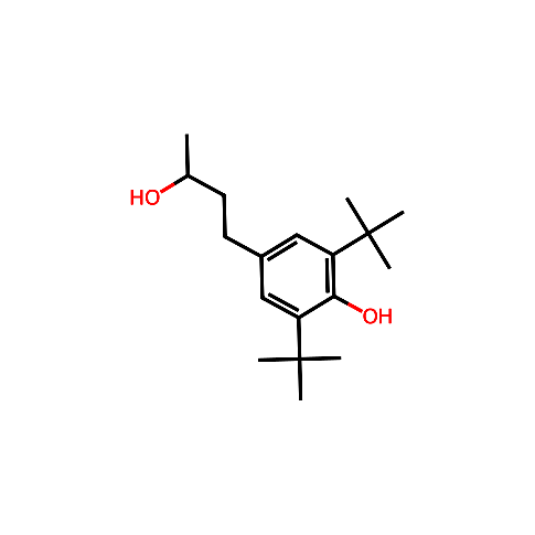 CC(O)CCc1cc(C(C)(C)C)c(O)c(C(C)(C)C)c1